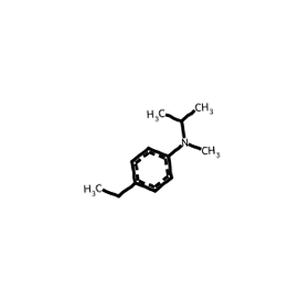 CCc1ccc(N(C)C(C)C)cc1